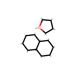 C1CCC2CCCCC2C1.C1CCOC1